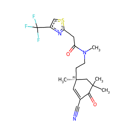 CN(CC[C@]1(C)C=C(C#N)C(=O)C(C)(C)C1)C(=O)Cc1nc(C(F)(F)F)cs1